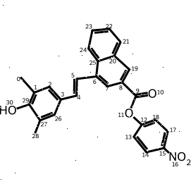 Cc1cc(/C=C/c2cc(C(=O)Oc3ccc([N+](=O)[O-])cc3)cc3ccccc23)cc(C)c1O